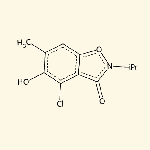 Cc1cc2on(C(C)C)c(=O)c2c(Cl)c1O